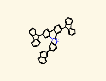 c1ccc2c(c1)-c1ccccc1C2c1ccc2c3ccc(C4c5ccccc5-c5ccccc54)cc3n3c4cc(-c5ccc6ccccc6c5)ccc4nc3c2c1